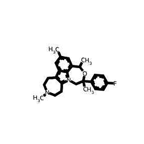 Cc1cc2c3c(c1)c1c(n3CC(C)(c3ccc(F)cc3)OC2C)CCN(C)CC1